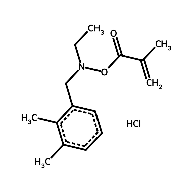 C=C(C)C(=O)ON(CC)Cc1cccc(C)c1C.Cl